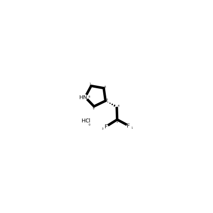 Cl.FC(F)C[C@H]1CCNC1